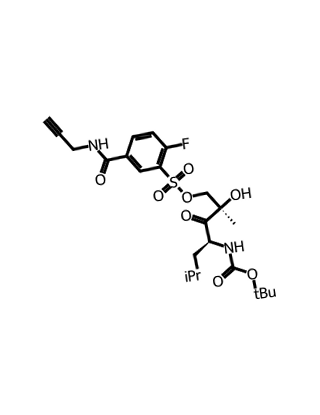 C#CCNC(=O)c1ccc(F)c(S(=O)(=O)OC[C@@](C)(O)C(=O)[C@H](CC(C)C)NC(=O)OC(C)(C)C)c1